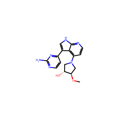 CO[C@@H]1CN(c2ccnc3[nH]cc(-c4ccnc(N)n4)c23)C[C@H]1O